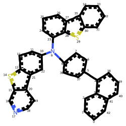 c1ccc2c(-c3ccc(N(c4ccc5sc6cnccc6c5c4)c4cccc5c4sc4ccccc45)cc3)cccc2c1